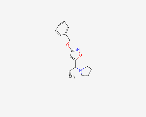 C=CC(c1cc(OCc2ccccc2)no1)N1CCCC1